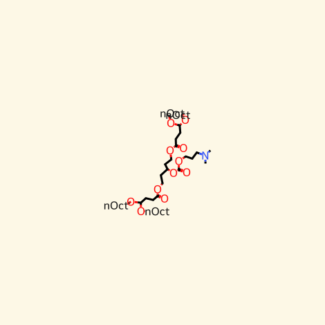 CCCCCCCCOC(CCC(=O)OCCC(CCOC(=O)CCC(OCCCCCCCC)OCCCCCCCC)OC(=O)OCCCN(C)C)OCCCCCCCC